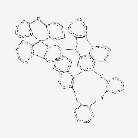 c1ccc(-c2ccccc2N(c2ccc3c(c2)-c2c(ccc4ccccc24)Cc2ccccc2Sc2ccccc2C3)c2ccc3c(c2)C2(c4ccccc4Oc4ccccc42)c2ccccc2-3)cc1